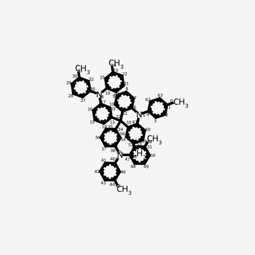 Cc1ccc(N2c3ccccc3C(c3cccc(N(c4cccc(C)c4)c4cccc(C)c4)c3)(c3cccc(N(c4cccc(C)c4)c4cccc(C)c4)c3)c3cc(C)ccc32)cc1